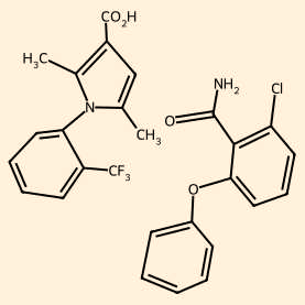 Cc1cc(C(=O)O)c(C)n1-c1ccccc1C(F)(F)F.NC(=O)c1c(Cl)cccc1Oc1ccccc1